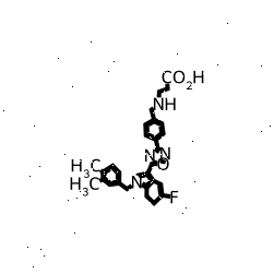 Cc1ccc(Cn2cc(-c3nc(-c4ccc(CNCCC(=O)O)cc4)no3)c3c2CCC(F)=C3)cc1C